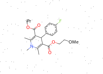 COCCOC(=O)C1=C(C)N(C)C(C)=C(C(=O)OC(C)C)C1c1ccc(F)cc1